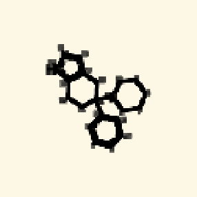 c1ccc(C2(N3CCCCC3)CCc3[nH]ncc3C2)cc1